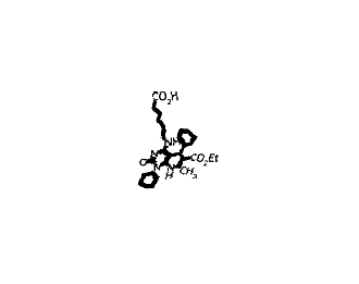 CCOC(=O)C1=C(C)Nc2c(c(NCCCCCC(=O)O)nc(=O)n2-c2ccccc2)C1c1ccccc1